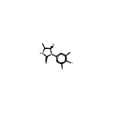 Cc1cc(N2C(=O)NC(C)C2=O)cc(C)c1Br